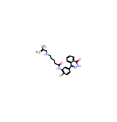 C=C(C)CNCCCCC(=O)Nc1cc(-c2n[nH]c(=O)c3ccccc23)ccc1Cl